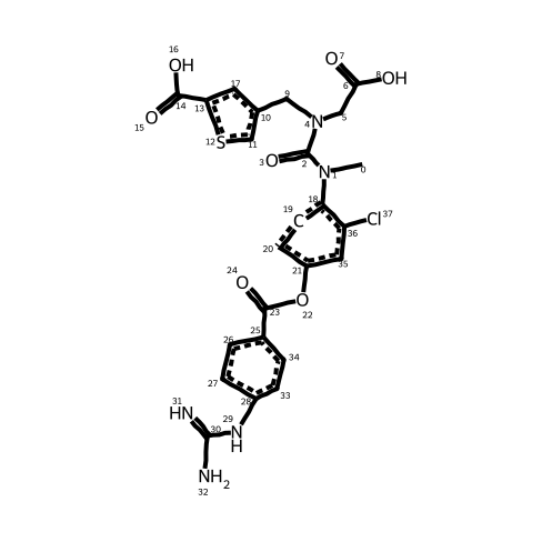 CN(C(=O)N(CC(=O)O)Cc1csc(C(=O)O)c1)c1ccc(OC(=O)c2ccc(NC(=N)N)cc2)cc1Cl